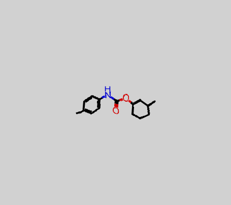 Cc1ccc(NC(=O)OC2CCCC(C)C2)cc1